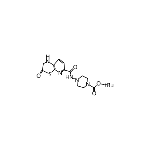 CC(C)(C)OC(=O)N1CCN(NC(=O)c2ccc3c(n2)SC(=O)CN3)CC1